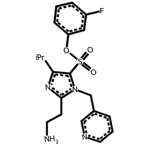 CC(C)c1nc(CCN)n(Cc2cccnc2)c1S(=O)(=O)Oc1cccc(F)c1